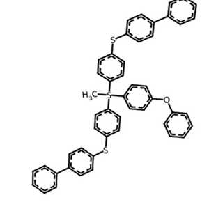 CS(c1ccc(Oc2ccccc2)cc1)(c1ccc(Sc2ccc(-c3ccccc3)cc2)cc1)c1ccc(Sc2ccc(-c3ccccc3)cc2)cc1